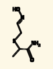 CC(SCC=NO)C(N)=O